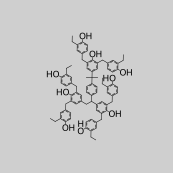 CCc1cc(Cc2cc(CC(c3ccc(C(C)(C)c4cc(Cc5ccc(O)c(CC)c5)c(O)c(Cc5ccc(O)c(CC)c5)c4)cc3)c3cc(Cc4ccc(O)c(CC)c4)c(O)c(Cc4ccc(O)c(CC)c4)c3)cc(Cc3ccc(O)c(CC)c3)c2O)ccc1O